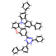 c1ccc(-c2cccc(-c3nc(-c4ccccc4)nc(-c4ccc5c(c4)oc4cccc(-n6c7ccc(-c8ccccc8)cc7c7cc(-c8ccccc8)ccc76)c45)n3)c2)cc1